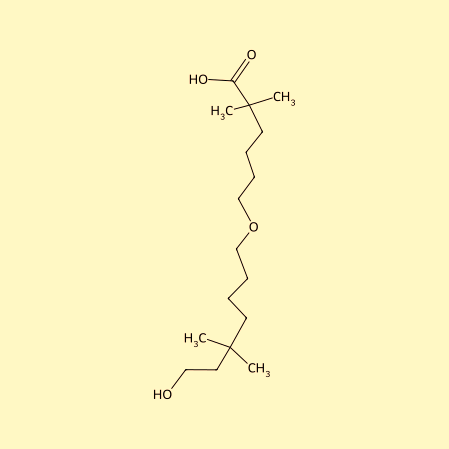 CC(C)(CCO)CCCCOCCCCC(C)(C)C(=O)O